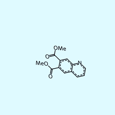 COC(=O)c1cc2cccnc2cc1C(=O)OC